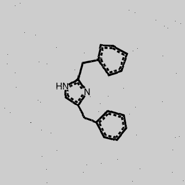 c1ccc(Cc2c[nH]c(Cc3ccccc3)n2)cc1